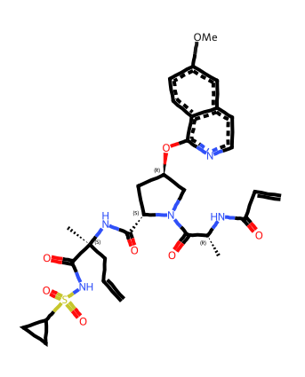 C=CC[C@](C)(NC(=O)[C@@H]1C[C@@H](Oc2nccc3cc(OC)ccc23)CN1C(=O)[C@@H](C)NC(=O)C=C)C(=O)NS(=O)(=O)C1CC1